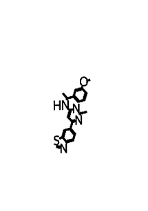 COc1cccc(C(C)Nc2cc(-c3ccc4ncsc4c3)nc(C)n2)c1